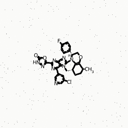 C[C@H]1CC[C@H](Cn2c(N3CCOC[C@H]3c3ccc(F)cc3)nc3nc(-c4n[nH]c(=O)o4)nc(-c4cncc(Cl)c4)c32)CC1